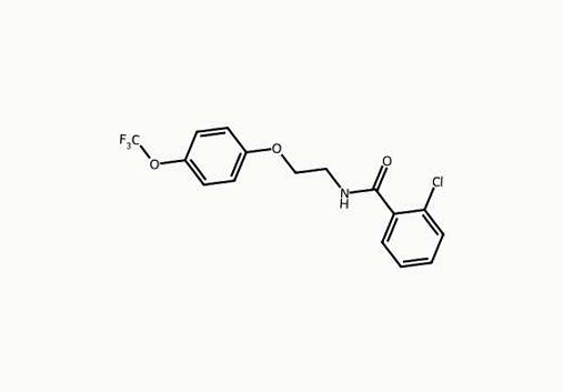 O=C(NCCOc1ccc(OC(F)(F)F)cc1)c1ccccc1Cl